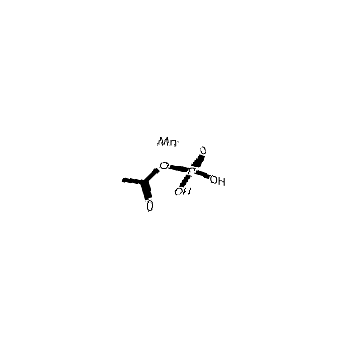 CC(=O)OP(=O)(O)O.[Mn]